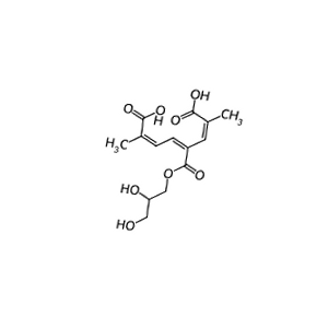 CC(=CC=C(C=C(C)C(=O)O)C(=O)OCC(O)CO)C(=O)O